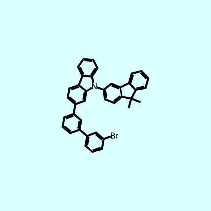 CC1(C)c2ccccc2-c2cc(-n3c4ccccc4c4ccc(-c5cccc(-c6cccc(Br)c6)c5)cc43)ccc21